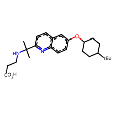 CC(C)(NCCC(=O)O)c1ccc2cc(OC3CCC(C(C)(C)C)CC3)ccc2n1